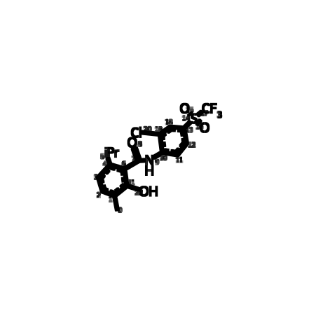 Cc1ccc(C(C)C)c(C(=O)Nc2ccc(S(=O)(=O)C(F)(F)F)cc2Cl)c1O